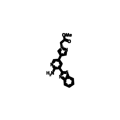 COC(=O)Cn1cc(-c2cnc(N)c(-c3nc4ccccc4s3)c2)cn1